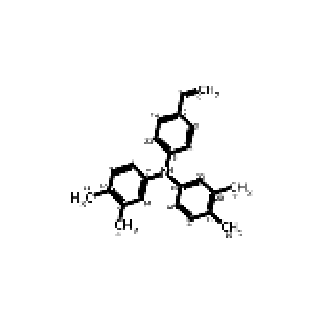 C=Cc1ccc(N(c2ccc(C)c(C)c2)c2ccc(C)c(C)c2)cc1